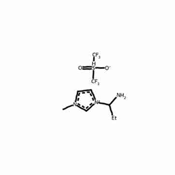 CCC(N)[n+]1ccn(C)c1.O=[SH]([O-])(C(F)(F)F)C(F)(F)F